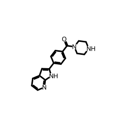 O=C(c1ccc(-c2cc3cccnc3[nH]2)cc1)N1CCNCC1